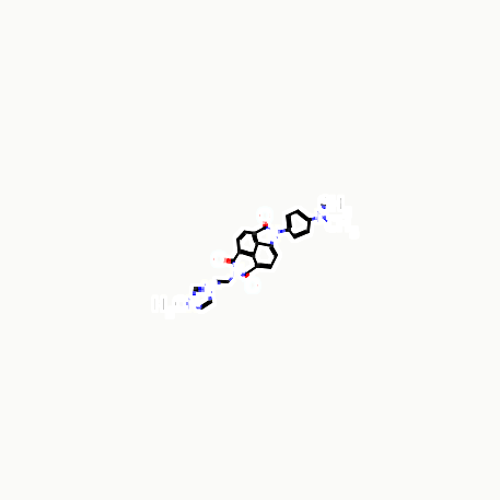 CN(C)c1ccc(N2C(=O)c3ccc4c5c(ccc2c35)C(=O)N(CC[n+]2ccn(C)c2)C4=O)cc1